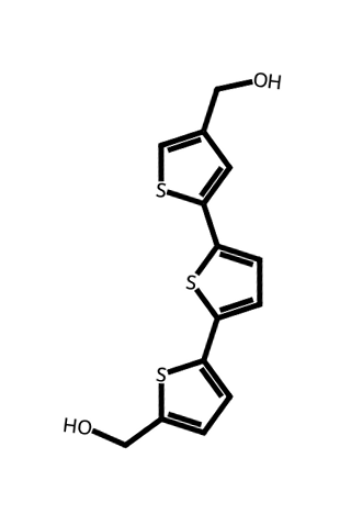 OCc1csc(-c2ccc(-c3ccc(CO)s3)s2)c1